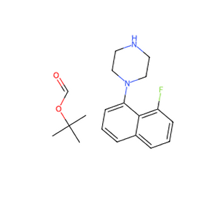 CC(C)(C)OC=O.Fc1cccc2cccc(N3CCNCC3)c12